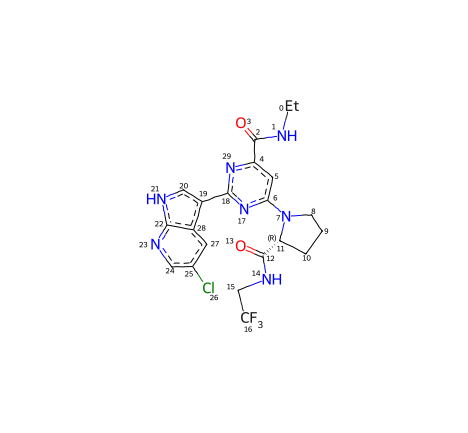 CCNC(=O)c1cc(N2CCC[C@@H]2C(=O)NCC(F)(F)F)nc(-c2c[nH]c3ncc(Cl)cc23)n1